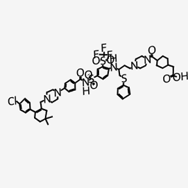 CC1(C)CCC(c2ccc(Cl)cc2)=C(CN2CCN(c3ccc(C(=O)NS(=O)(=O)c4ccc(NC(CCN5CCN(C(=O)C6CCC(CC(=O)O)CC6)CC5)CSc5ccccc5)c(S(=O)(=O)C(F)(F)F)c4)cc3)CC2)C1